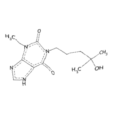 Cn1c(=O)n(CCCC(C)(C)O)c(=O)c2[nH]cnc21